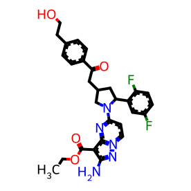 CCOC(=O)c1c(N)nn2ccc(N3CC(CC(=O)c4ccc(CCO)cc4)CC3c3cc(F)ccc3F)nc12